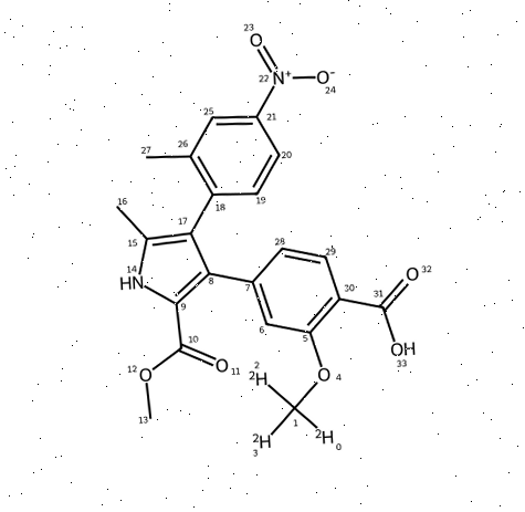 [2H]C([2H])([2H])Oc1cc(-c2c(C(=O)OC)[nH]c(C)c2-c2ccc([N+](=O)[O-])cc2C)ccc1C(=O)O